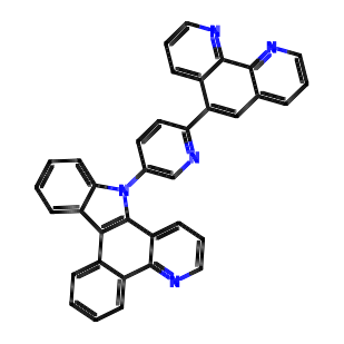 c1cnc2c(c1)cc(-c1ccc(-n3c4ccccc4c4c5ccccc5c5ncccc5c43)cn1)c1cccnc12